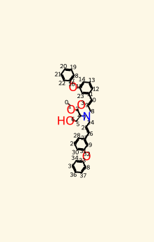 COC(=O)[C@H](CO)N(CC=Cc1cccc(Oc2ccccc2)c1)CC=Cc1cccc(Oc2ccccc2)c1